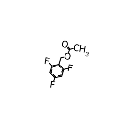 CC(=O)OCc1c(F)cc(F)cc1F